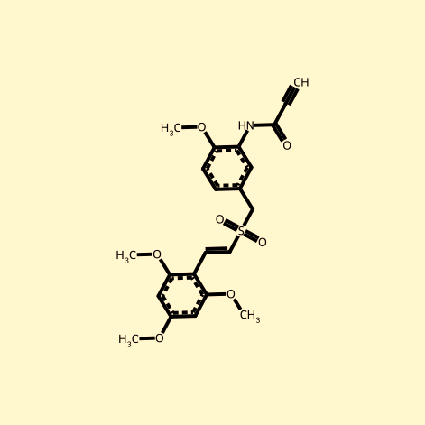 C#CC(=O)Nc1cc(CS(=O)(=O)C=Cc2c(OC)cc(OC)cc2OC)ccc1OC